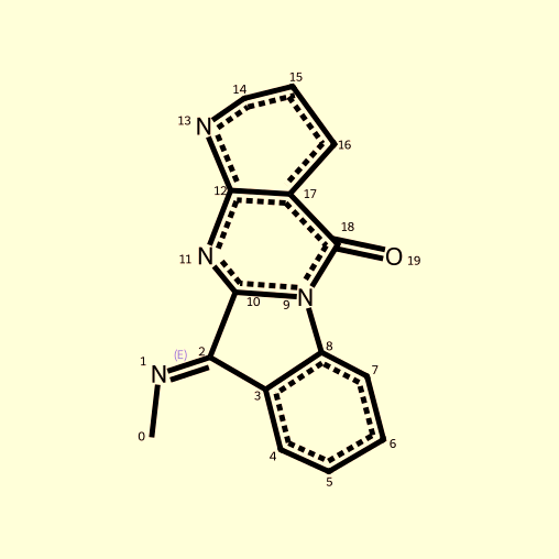 C/N=C1\c2ccccc2-n2c1nc1ncccc1c2=O